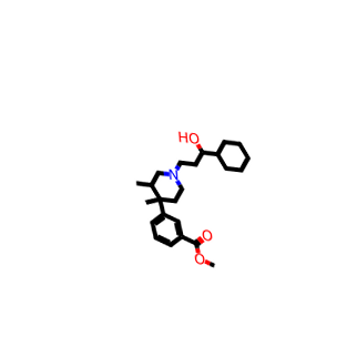 COC(=O)c1cccc(C2(C)CCN(CCC(O)C3CCCCC3)CC2C)c1